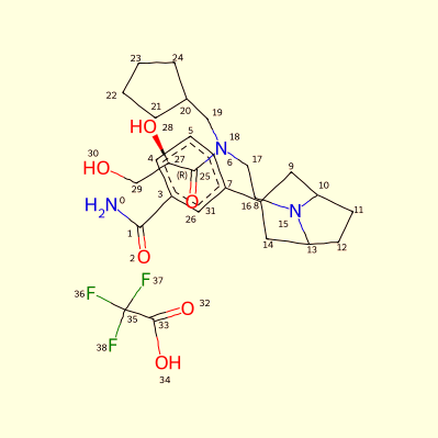 NC(=O)c1cccc(C2CC3CCC(C2)N3CCN(CC2CCCC2)C(=O)[C@H](O)CO)c1.O=C(O)C(F)(F)F